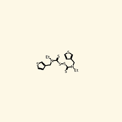 CCN(Cc1ccsc1)C(=S)SSC(=S)N(CC)Cc1ccsc1